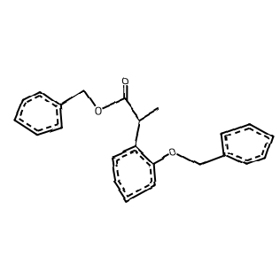 CC(C(=O)OCc1ccccc1)c1ccccc1OCc1ccccc1